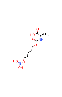 CC(NC(=O)OCCCCCON(O)O)C(=O)O